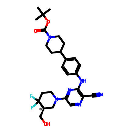 CC(C)(C)OC(=O)N1CCC(c2ccc(Nc3nc(N4CCC(F)(F)[C@H](CO)C4)cnc3C#N)cc2)CC1